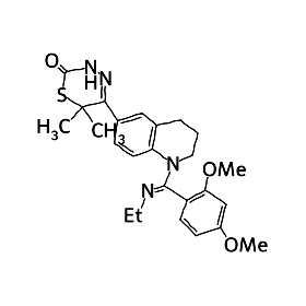 CCN=C(c1ccc(OC)cc1OC)N1CCCc2cc(C3=NNC(=O)SC3(C)C)ccc21